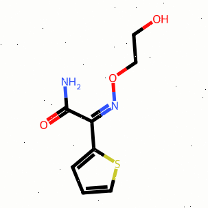 NC(=O)/C(=N\OCCO)c1cccs1